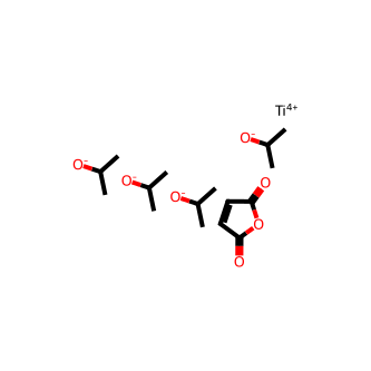 CC(C)[O-].CC(C)[O-].CC(C)[O-].CC(C)[O-].O=C1C=CC(=O)O1.[Ti+4]